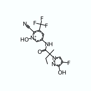 CCC(C)(C(=O)Nc1cc(C(F)(F)F)c(C#N)[n+](O)c1)n1cc(F)c(O)n1